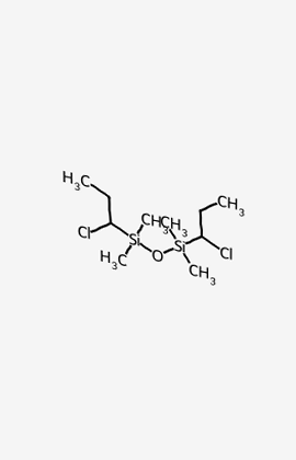 CCC(Cl)[Si](C)(C)O[Si](C)(C)C(Cl)CC